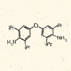 CC(C)c1cc(Oc2cc(C(C)C)c(N)c(C(C)C)c2)cc(C(C)C)c1N